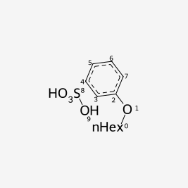 CCCCCCOc1ccccc1.O=S(=O)(O)O